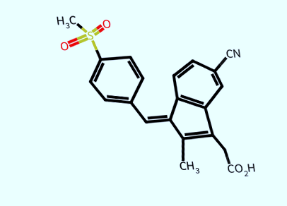 CC1=C(CC(=O)O)c2cc(C#N)ccc2C1=Cc1ccc(S(C)(=O)=O)cc1